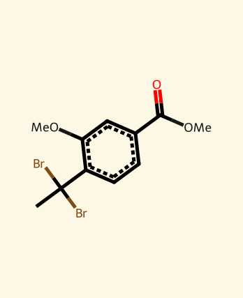 COC(=O)c1ccc(C(C)(Br)Br)c(OC)c1